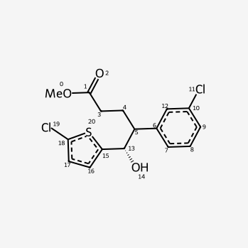 COC(=O)CCC(c1cccc(Cl)c1)[C@H](O)c1ccc(Cl)s1